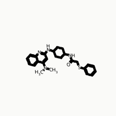 CN(C)c1cc(NC2CCC(NC(=O)CSc3ccccc3)CC2)nc2ccccc12